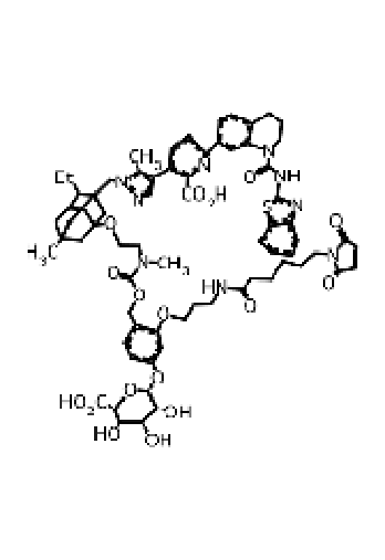 CCC1C2CC3(C)CC(OCCN(C)C(=O)OCc4ccc(O[C@@H]5O[C@H](C(=O)O)[C@@H](O)[C@H](O)[C@H]5O)cc4OCCCNC(=O)CCCCCN4C(=O)C=CC4=O)(C2)CC1(Cn1ncc(-c2ccc(-c4ccc5c(c4)N(C(=O)Nc4nc6ccccc6s4)CCC5)nc2C(=O)O)c1C)C3